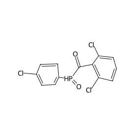 O=C(c1c(Cl)cccc1Cl)[PH](=O)c1ccc(Cl)cc1